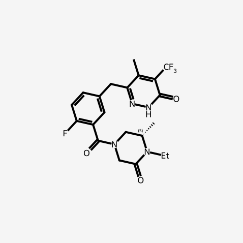 CCN1C(=O)CN(C(=O)c2cc(Cc3n[nH]c(=O)c(C(F)(F)F)c3C)ccc2F)C[C@@H]1C